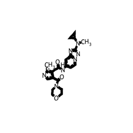 CN(c1nc2cc(NC(=O)c3c(C(=O)N4CCOCC4)cnn3C)ccn2n1)C1CC1